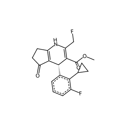 COC(=O)C1=C(CF)NC2=C(C(=O)CC2)[C@H]1c1cccc(F)c1C1CC1